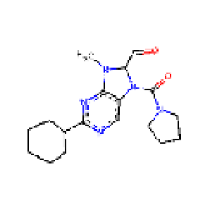 CN1c2nc(C3CCCCC3)ncc2N(C(=O)N2CCCC2)C1C=O